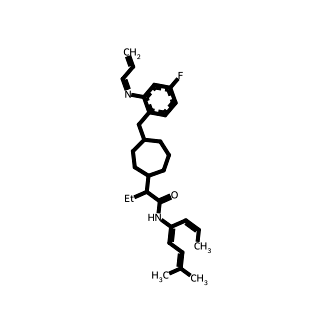 C=C/C=N\c1cc(F)ccc1CC1CCCC(C(CC)C(=O)NC(/C=C\C)=C/C=C(C)C)CC1